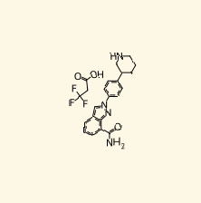 NC(=O)c1cccc2cn(-c3ccc(C4CCCNC4)cc3)nc12.O=C(O)CC(F)(F)F